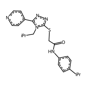 CC(C)Cn1c(SCC(=O)Nc2ccc(C(C)C)cc2)nnc1-c1ccncc1